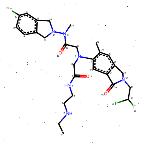 CCNCCNC(=O)CN(CC(=O)N(C)N1Cc2ccc(F)cc2C1)c1cc2c(cc1C)CN(CC(F)F)C2=O